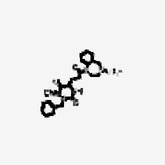 COC(=O)C(CCC(=O)N1CCN(C(=O)O)Cc2ccccc21)NC(=O)OCc1ccccc1